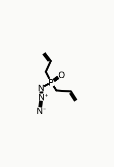 C=CCP(=O)(CC=C)N=[N+]=[N-]